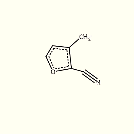 [CH2]c1ccoc1C#N